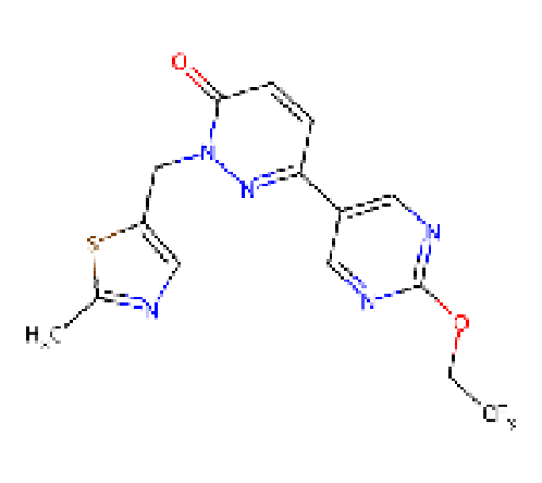 Cc1ncc(Cn2nc(-c3cnc(OCC(F)(F)F)nc3)ccc2=O)s1